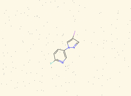 Fc1ccc(-n2cc(I)cn2)cn1